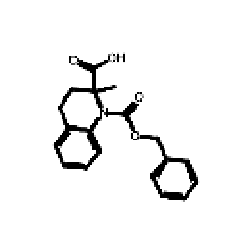 CC1(C(=O)O)CCc2ccccc2N1C(=O)OCc1ccccc1